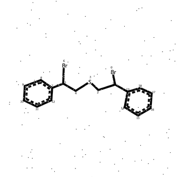 BrC(CSCC(Br)c1ccccc1)c1ccccc1